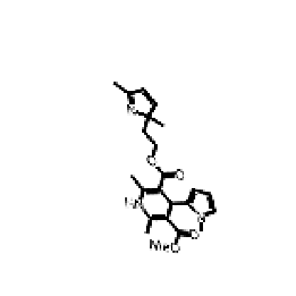 COC(=O)C1=C(C)NC(C)=C(C(=O)OCCC2(C)C=CC(C)=N2)C1c1cccn1C